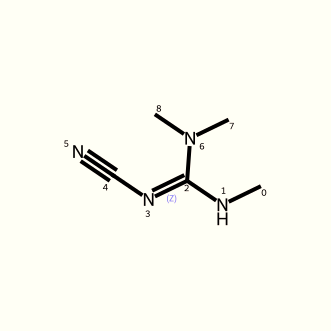 CN/C(=N/C#N)N(C)C